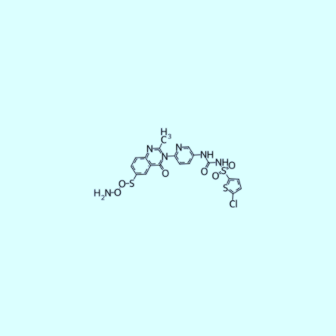 Cc1nc2ccc(SOON)cc2c(=O)n1-c1ccc(NC(=O)NS(=O)(=O)c2ccc(Cl)s2)cn1